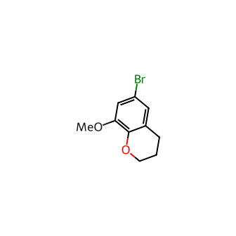 COc1cc(Br)cc2c1OCCC2